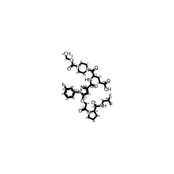 CCOC(=O)N1CCN(C(=O)C(CCC(=O)O)NC(=O)c2cc(OCC(=O)N3CCCC3C(=O)NCC(F)F)n(-c3cccc(F)c3)n2)CC1